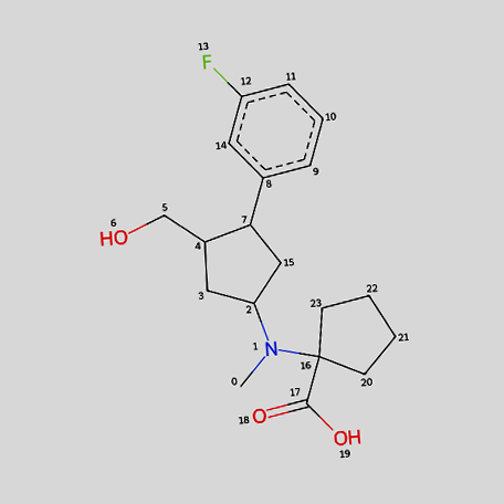 CN(C1CC(CO)C(c2cccc(F)c2)C1)C1(C(=O)O)CCCC1